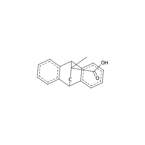 CC1(C(=O)O)CC2c3ccccc3C1c1ccccc12